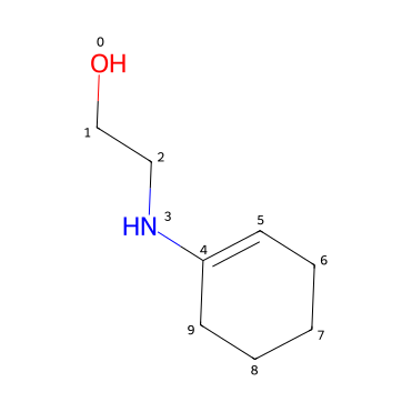 OCCNC1=CCCCC1